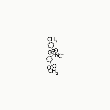 [C-]#[N+]C(c1cccc(C(=O)OC)c1)S(=O)(=O)c1ccc(C)cc1